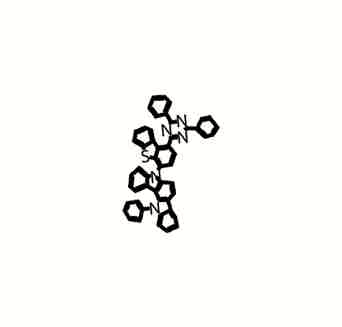 c1ccc(-c2nc(-c3ccccc3)nc(-c3ccc(-n4c5ccccc5c5c4ccc4c6ccccc6n(-c6ccccc6)c45)c4sc5ccccc5c34)n2)cc1